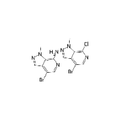 Cn1ncc2c(Br)cnc(Cl)c21.Cn1ncc2c(Br)cnc(N)c21